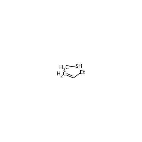 C=CCC.CS